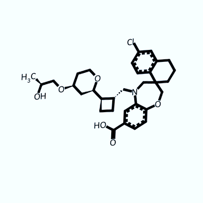 C[C@H](O)CO[C@H]1CCO[C@@H]([C@@H]2CC[C@H]2CN2CC3(CCCc4cc(Cl)ccc43)COc3ccc(C(=O)O)cc32)C1